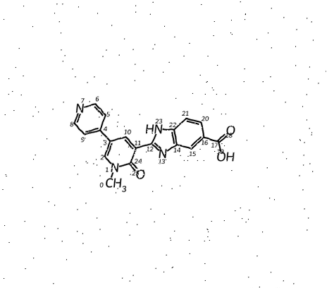 Cn1cc(-c2ccncc2)cc(-c2nc3cc(C(=O)O)ccc3[nH]2)c1=O